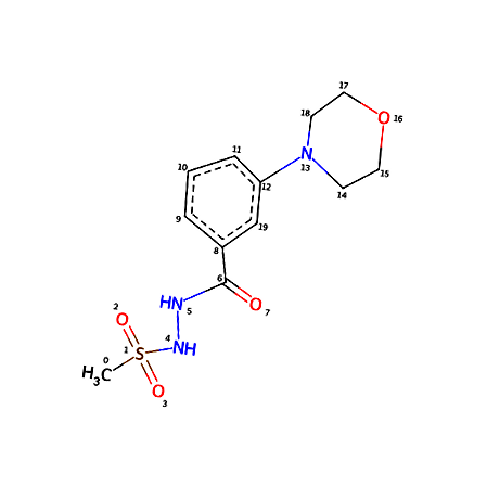 CS(=O)(=O)NNC(=O)c1cccc(N2CCOCC2)c1